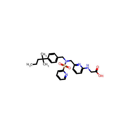 CCCC(C)(C)c1ccc(CN(Cc2cccc(NCC(=O)O)n2)S(=O)(=O)c2ccccn2)cc1